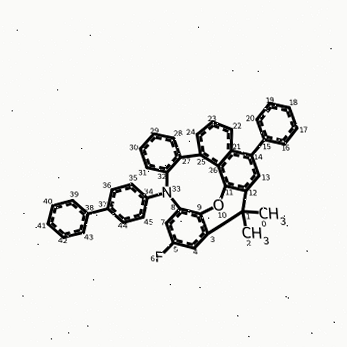 CC1(C)c2cc(F)cc3c2Oc2c1cc(-c1ccccc1)c1cccc(c21)-c1ccccc1N3c1ccc(-c2ccccc2)cc1